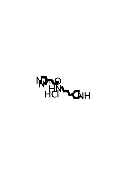 Cl.O=C(/C=C/c1ccnnc1)NCCCCC1CCNCC1